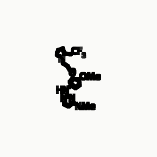 CNc1ccnc(Nc2ccc(OC)c(OCCCN3CCCC3CC(F)(F)F)c2)n1